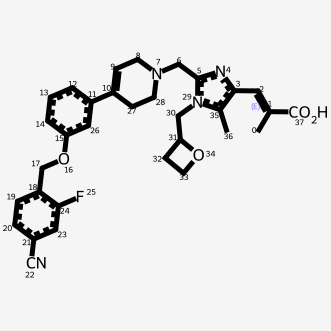 C/C(=C\c1nc(CN2CC=C(c3cccc(OCc4ccc(C#N)cc4F)c3)CC2)n(CC2CCO2)c1C)C(=O)O